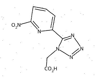 O=C(O)Cn1nnnc1-c1cccc([N+](=O)[O-])n1